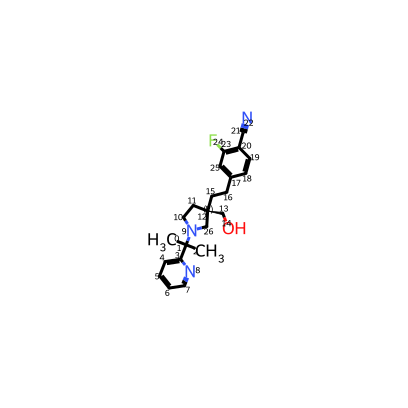 CC(C)(c1ccccn1)N1CC[C@](CO)(CCc2ccc(C#N)c(F)c2)C1